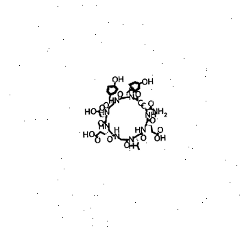 CC(C)C[C@@H]1NC(=O)CNC(=O)[C@H](CCC(=O)O)NC(=O)[C@H](CC(=O)O)NC(=O)[C@H](Cc2ccc(O)cc2)NC(=O)[C@H](Cc2ccc(O)cc2)NC(=O)CC[C@@H](C(N)=O)NC(=O)[C@H](CCC(=O)O)NC1=O